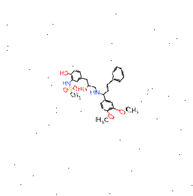 COc1ccc(C(CCc2ccccc2)NCC(O)Cc2ccc(O)c(NS(C)(=O)=O)c2)cc1OC